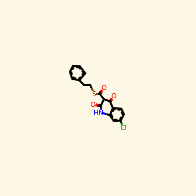 O=C1Nc2cc(Cl)ccc2C(=O)C1C(=O)SCCc1ccccc1